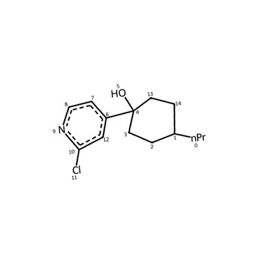 CCCC1CCC(O)(c2ccnc(Cl)c2)CC1